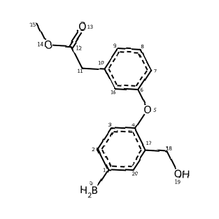 Bc1ccc(Oc2cccc(CC(=O)OC)c2)c(CO)c1